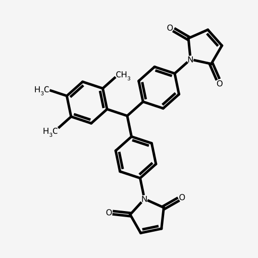 Cc1cc(C)c(C(c2ccc(N3C(=O)C=CC3=O)cc2)c2ccc(N3C(=O)C=CC3=O)cc2)cc1C